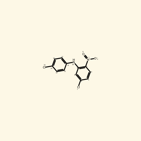 O=[N+]([O-])c1ccc(Cl)cc1Nc1ccc(Cl)cc1